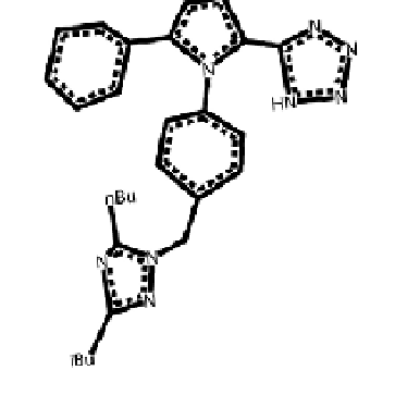 CCCCc1nc(C(C)CC)nn1Cc1ccc(-n2c(-c3ccccc3)ccc2-c2nnn[nH]2)cc1